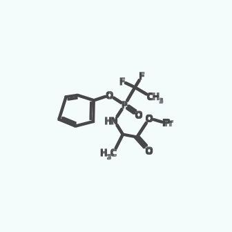 CC(C)OC(=O)C(C)NP(=O)(Oc1ccccc1)C(C)(F)F